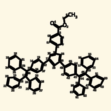 CCOC(=O)c1ccc(-c2cc(-c3ccc(C(=C(c4ccccc4)c4ccccc4)c4ccccc4)cc3)cc(-c3ccc(C(=C(c4ccccc4)c4ccccc4)c4ccccc4)cc3)c2)cc1